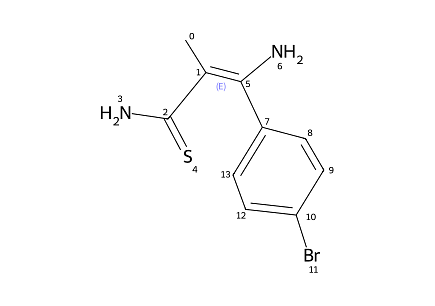 C/C(C(N)=S)=C(\N)c1ccc(Br)cc1